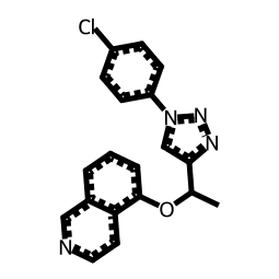 CC(Oc1cccc2cnccc12)c1cn(-c2ccc(Cl)cc2)nn1